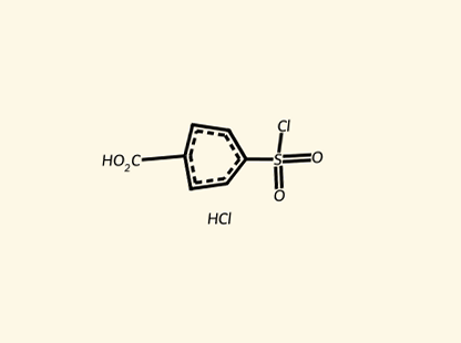 Cl.O=C(O)c1ccc(S(=O)(=O)Cl)cc1